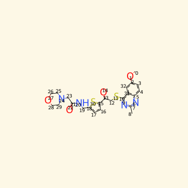 COc1ccc2nc(C)nc(SCC(=O)c3ccc(CNC(=O)CN4CCOCC4)s3)c2c1